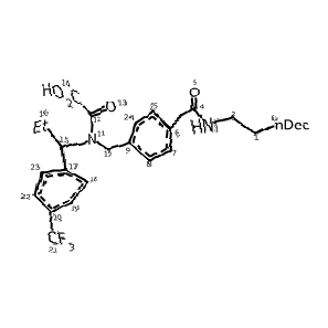 CCCCCCCCCCCCNC(=O)c1ccc(CN(C(=O)C(=O)O)C(CC)c2ccc(C(F)(F)F)cc2)cc1